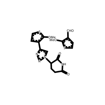 COc1sccc1-c1cn(C2CCC(=O)NC2=O)nn1.COc1sccc1C=O